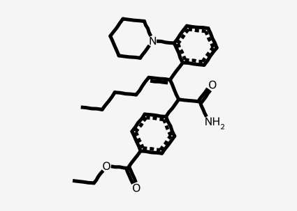 CCCCC=C(c1ccccc1N1CCCCC1)C(C(N)=O)c1ccc(C(=O)OCC)cc1